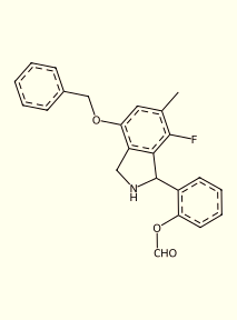 Cc1cc(OCc2ccccc2)c2c(c1F)C(c1ccccc1OC=O)NC2